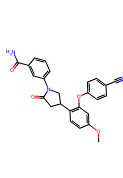 COc1ccc(C2CC(=O)N(c3cccc(C(N)=O)c3)C2)c(Oc2ccc(C#N)cc2)c1